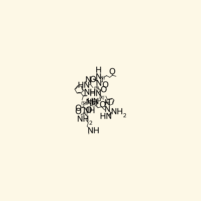 CNCCCC[C@H](NC(=O)[C@H](Cc1c[nH]c2ccccc12)NC(=O)[C@H](CCCNC(=N)N)NC(=O)[C@@H](Cc1ccccc1)NC(=O)[C@H](Cc1cnc[nH]1)N1C(=O)N[C@@H](CCC(C)=O)C1=O)C(N)=O